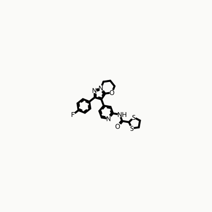 O=C(Nc1cc(-c2c(-c3ccc(F)cc3)nn3c2OCCC3)ccn1)C1SCCS1